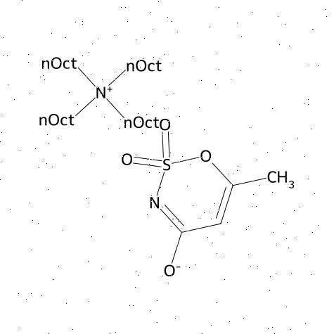 CC1=CC([O-])=NS(=O)(=O)O1.CCCCCCCC[N+](CCCCCCCC)(CCCCCCCC)CCCCCCCC